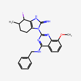 COc1cccc2c(NCc3ccccc3)nc(-n3c4c([nH]c3=N)C(I)C(C)CC4)nc12